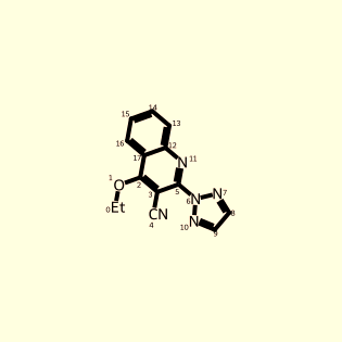 CCOc1c(C#N)c(-n2nccn2)nc2ccccc12